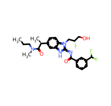 CCCN(C)C(=O)[C@@H](C)c1ccc2c(c1)[nH]/c(=N\C(=O)c1cccc(C(F)F)c1)n2C[C@@H](F)CO